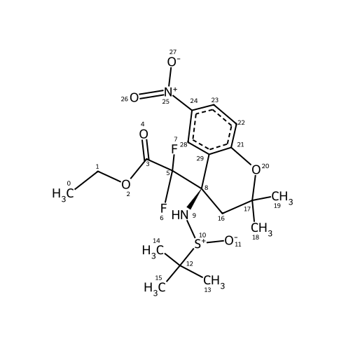 CCOC(=O)C(F)(F)[C@@]1(N[S+]([O-])C(C)(C)C)CC(C)(C)Oc2ccc([N+](=O)[O-])cc21